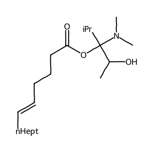 CCCCCCCC=CCCCC(=O)OC(C(C)C)(C(C)O)N(C)C